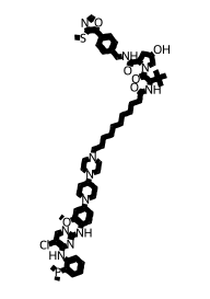 COc1cc(N2CCC(N3CCN(CCCCCCCCCCC(=O)NC(C(=O)N4CC(O)CC4C(=O)NCc4ccc(-c5ocnc5SC)cc4)C(C)(C)C)CC3)CC2)ccc1Nc1ncc(Cl)c(Nc2ccccc2P(C)C)n1